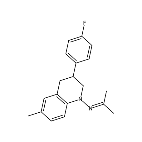 CC(C)=NN1CC(c2ccc(F)cc2)Cc2cc(C)ccc21